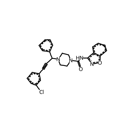 O=C(Nc1noc2ccccc12)N1CCN(C(C#Cc2cccc(Cl)c2)c2ccccc2)CC1